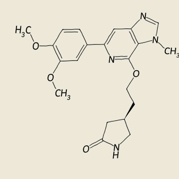 COc1ccc(-c2cc3ncn(C)c3c(OCC[C@H]3CNC(=O)C3)n2)cc1OC